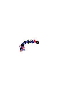 C[C@H]1CN(C(=O)OCc2ccccc2)CCN1CCC1(F)CCN(CC2CCN(c3ccc4c(c3)C(=O)N(C3CCC(=O)NC3=O)C4=O)CC2)CC1